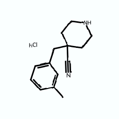 Cc1cccc(CC2(C#N)CCNCC2)c1.Cl